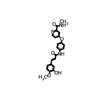 CNC(=O)c1cc(Oc2ccc(NC(=O)C=Cc3ccc(OC)c(O)c3)cc2)ccn1